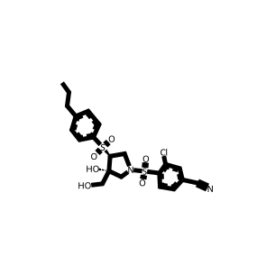 CCCc1ccc(S(=O)(=O)[C@H]2CN(S(=O)(=O)c3ccc(C#N)cc3Cl)C[C@@]2(O)CO)cc1